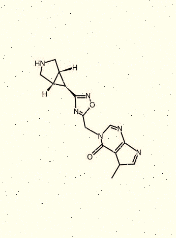 CC1C=Nc2ncn(Cc3nc([C@H]4[C@@H]5CNC[C@@H]54)no3)c(=O)c21